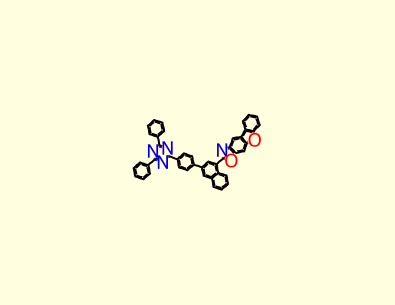 c1ccc(-c2nc(-c3ccccc3)nc(-c3ccc(-c4cc(-c5nc6cc7c(cc6o5)oc5ccccc57)c5ccccc5c4)cc3)n2)cc1